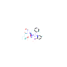 O=C(c1ccc(F)c(F)c1Nc1ccc(I)cc1F)N1CC(CN2CCOCC2)(OC(=O)C(F)(F)F)C1